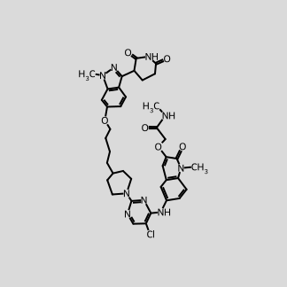 CNC(=O)COc1cc2cc(Nc3nc(N4CCC(CCCCOc5ccc6c(C7CCC(=O)NC7=O)nn(C)c6c5)CC4)ncc3Cl)ccc2n(C)c1=O